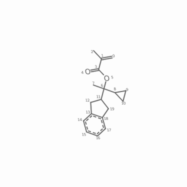 C=C(C)C(=O)OC(C)(C1CC1)C1Cc2ccccc2C1